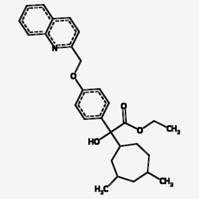 CCOC(=O)C(O)(c1ccc(OCc2ccc3ccccc3n2)cc1)C1CCC(C)CC(C)C1